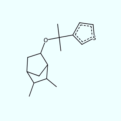 CC1C2CC(OC(C)(C)c3ccsc3)C(C2)C1C